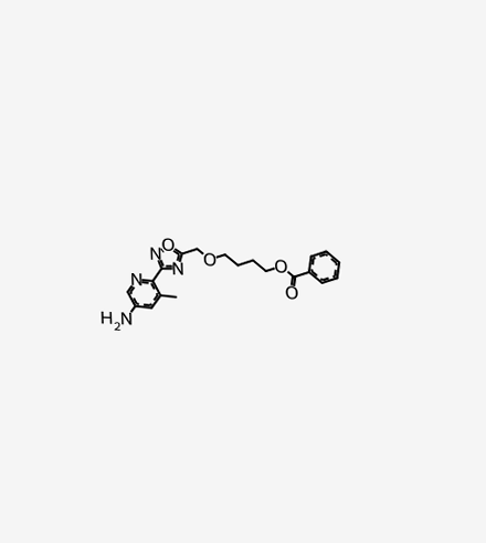 Cc1cc(N)cnc1-c1noc(COCCCCOC(=O)c2ccccc2)n1